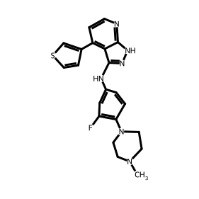 CN1CCN(c2ccc(Nc3n[nH]c4nccc(-c5ccsc5)c34)cc2F)CC1